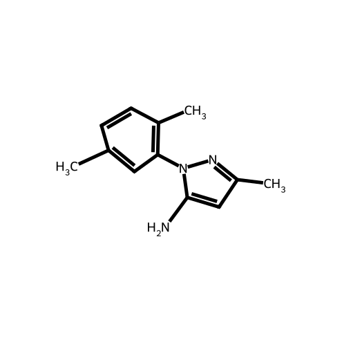 Cc1ccc(C)c(-n2nc(C)cc2N)c1